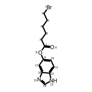 O=C(CCCCCBr)Oc1ccc2[nH]cnc2c1